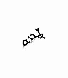 Cc1nc(C2CC2)c(-c2ccnc(Nc3cccc(Cl)c3)n2)s1